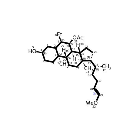 CC[C@@H]1C2C[C@H](O)CC[C@]2(C)[C@H]2CC[C@]3(C)[C@@H]([C@H](C)CC/C=C/OC)CC[C@H]3[C@@H]2[C@@H]1OC(C)=O